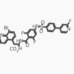 O=C(NC(Cc1ccc(Br)c2ncccc12)C(=O)O)c1c(F)cc(NS(=O)(=O)c2ccc(-c3ccnc(F)c3)cc2)cc1F